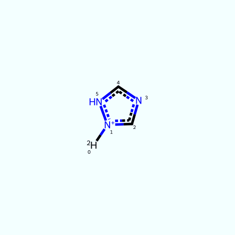 [2H][n+]1cnc[nH]1